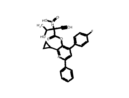 C#CC(C(=O)Oc1c(-c2ccc(F)cc2)cc(-c2ccccc2)nc1C1CC1)(C(C)O)[PH](=O)O